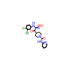 O=C(/C(=N/O)Nc1ccc(F)c(Br)c1)C1CCN(C(=O)Nc2ccccn2)CC1